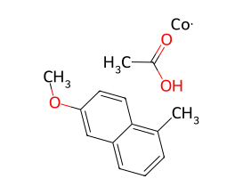 CC(=O)O.COc1ccc2c(C)cccc2c1.[Co]